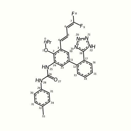 CCCOc1c(C=CC=C(F)F)cc(-c2ccccc2-c2nnn[nH]2)cc1NC(=O)Nc1ccc(C)cc1